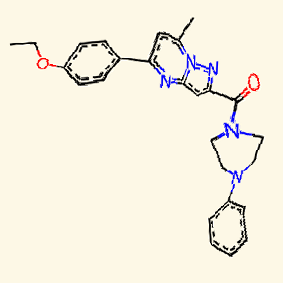 CCOc1ccc(-c2cc(C)n3nc(C(=O)N4CCN(c5ccccc5)CC4)cc3n2)cc1